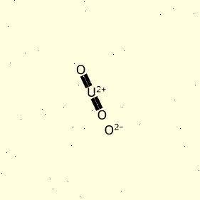 [O-2].[O]=[U+2]=[O]